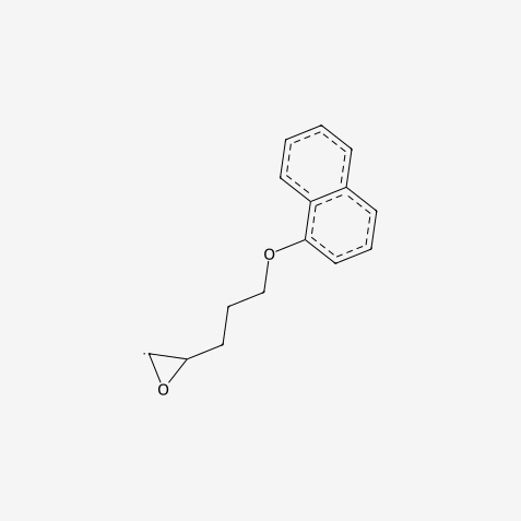 [CH]1OC1CCCOc1cccc2ccccc12